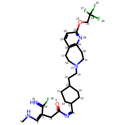 CN/C=C(/CC(=O)/N=C\C1CCC(CCN2CCc3ccc(OCC(F)(F)F)nc3CC2)CC1)C(=N)F